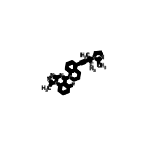 Cc1nccn1C(C)(C)C#Cc1cccc2c1CCCN2c1nc2nnc(C)n2c2cccc(F)c12